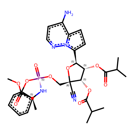 COC(=O)[C@H](C)N[P@](=O)(OC[C@@]1(C#N)O[C@@H](c2ccc3c(N)ccnn23)[C@H](OC(=O)C(C)C)[C@@H]1OC(=O)C(C)C)Oc1ccccc1